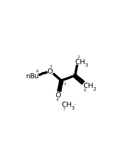 C=C(C)C(=O)OCCCC.[CH3]